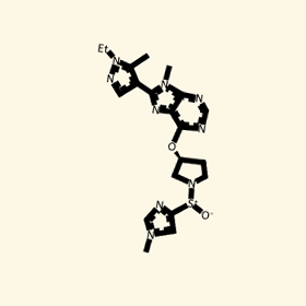 CCn1ncc(-c2nc3c(O[C@H]4CCN([S+]([O-])c5cn(C)cn5)C4)ncnc3n2C)c1C